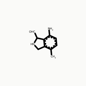 Cc1ccc(N)c2c1CNC2C=O